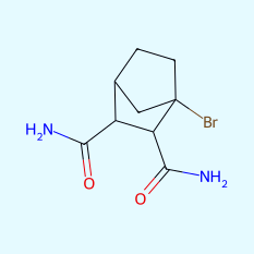 NC(=O)C1C2CCC(Br)(C2)C1C(N)=O